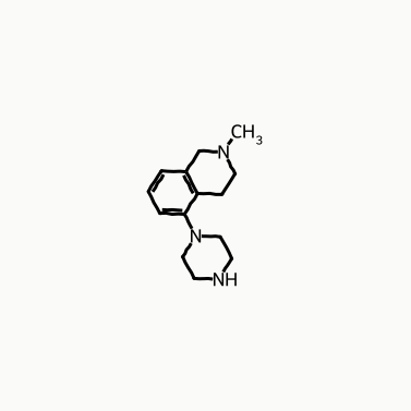 CN1CCc2c(cccc2N2CCNCC2)C1